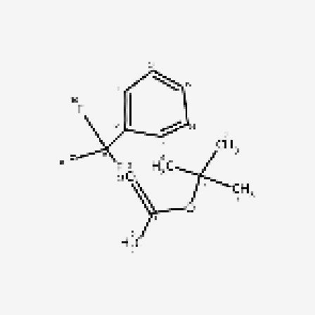 CC(=O)OC(C)(C)C.FC(F)(F)c1ccccc1